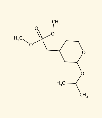 COP(=O)(CC1CCOC(OC(C)C)C1)OC